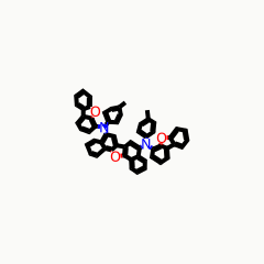 Cc1ccc(N(c2cc3c4cc(N(c5ccc(C)cc5)c5cccc6c5oc5ccccc56)c5ccccc5c4oc3c3ccccc23)c2cccc3c2oc2ccccc23)cc1